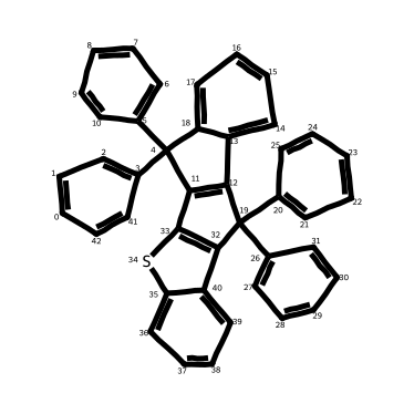 c1ccc(C2(c3ccccc3)C3=C(c4ccccc42)C(c2ccccc2)(c2ccccc2)c2c3sc3ccccc23)cc1